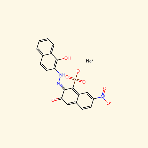 O=C1C=c2ccc([N+](=O)[O-])cc2=C(S(=O)(=O)[O-])C1=NNc1ccc2ccccc2c1O.[Na+]